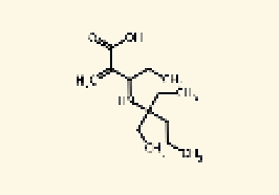 C=C(C(=O)O)C(CC)NC(CC)(CC)CCC